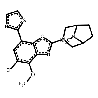 O=C(O)N1C2CCC1CN(c1nc3c(OC(F)(F)F)c(Cl)cc(-c4nccs4)c3o1)C2